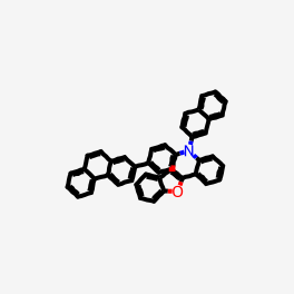 c1ccc(N(c2ccc(-c3ccc4c(ccc5ccccc54)c3)cc2)c2ccc3ccccc3c2)c(-c2cc3ccccc3o2)c1